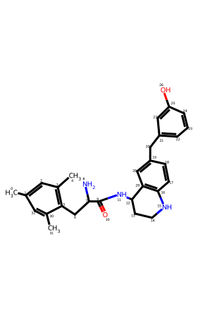 Cc1cc(C)c(CC(N)C(=O)NC2CCNc3ccc(Cc4cccc(O)c4)cc32)c(C)c1